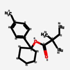 Cc1ccc(C2(OC(=O)C(C)(CC(C)(C)C)C(C)(C)C)CCCCC2)cc1